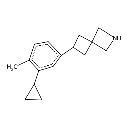 Cc1ccc(C2CC3(CNC3)C2)cc1C1CC1